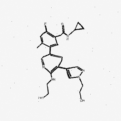 Cc1cc(F)c(C(=O)NC2CC2)cc1-c1cnc(NCCO)c(-c2cnn(CCO)c2)c1